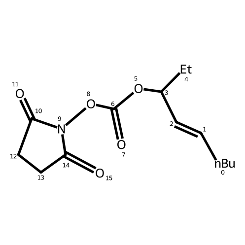 CCCC/C=C/C(CC)OC(=O)ON1C(=O)CCC1=O